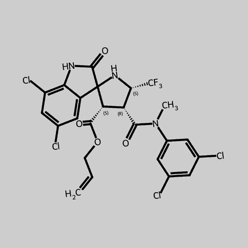 C=CCOC(=O)[C@H]1[C@@H](C(=O)N(C)c2cc(Cl)cc(Cl)c2)[C@@H](C(F)(F)F)NC12C(=O)Nc1c(Cl)cc(Cl)cc12